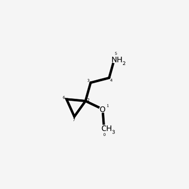 COC1(CCN)CC1